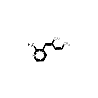 C/C=C\C(=C/c1cccnc1C)C(C)(C)C